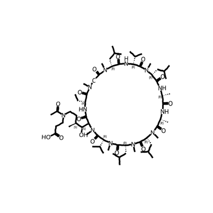 CC[C@H]1NC(=O)C([C@@H](O)[C@@H](C)CCN(CCC(=O)O)C(C)=O)N(C)C(=O)[C@@H](C(C)C)N(C)C(=O)[C@@H](CC(C)C)N(C)C(=O)[C@@H](CC(C)C)N(C)C(=O)[C@@H](C)NC(=O)[C@@H](C)NC(=O)[C@@H](CC(C)C)N(C)C(=O)[C@@H](C(C)C)NC(=O)[C@@H](CC(C)C)N(C)C(=O)CN(C)C1=O